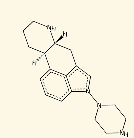 c1cc2c3c(cn(N4CCNCC4)c3c1)C[C@H]1NCCC[C@H]21